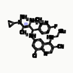 C/C(=C(/N)C(Nc1cc(Cl)c2ncc(C#N)c(NCC(C)(C)C)c2c1)c1ccc(F)nc1C)N(N)C1CC1